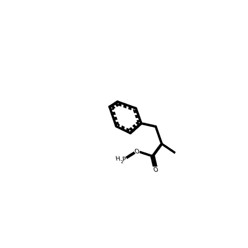 CC(Cc1ccccc1)C(=O)OP